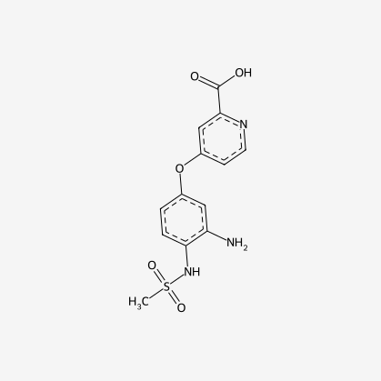 CS(=O)(=O)Nc1ccc(Oc2ccnc(C(=O)O)c2)cc1N